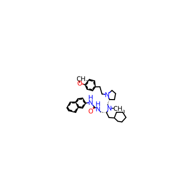 COc1ccc(CCN2CCC[C@@H]2CN(C)[C@@H](CNC(=O)Nc2ccc3ccccc3c2)CC2CCCCC2)cc1